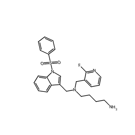 NCCCCN(Cc1cccnc1F)Cc1cn(S(=O)(=O)c2ccccc2)c2ccccc12